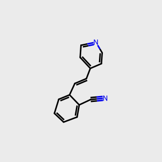 N#Cc1ccccc1/C=C/c1ccncc1